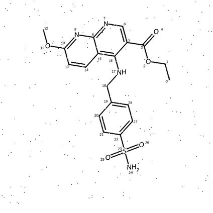 CCOC(=O)c1cnc2nc(OC)ccc2c1NCc1ccc(S(N)(=O)=O)cc1